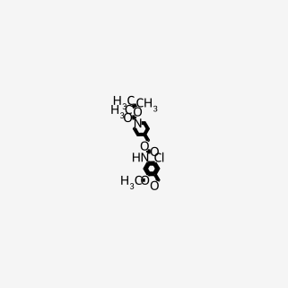 COc1cc(NC(=O)OCC2CCN(C(=O)OC(C)(C)C)CC2)c(Cl)cc1C=O